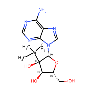 C[Si](C)(C)[C@@]1(O)[C@H](O)[C@@H](CO)O[C@H]1n1cnc2c(N)ncnc21